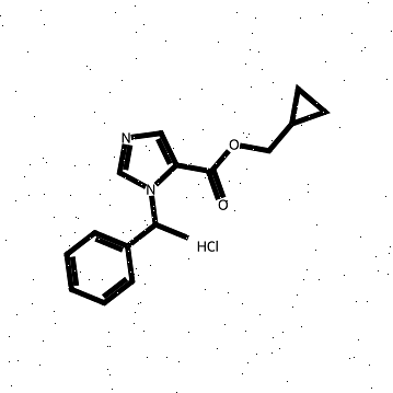 CC(c1ccccc1)n1cncc1C(=O)OCC1CC1.Cl